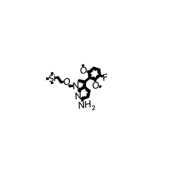 COc1ccc(F)c(OC)c1-c1cn(COCC[Si](C)(C)C)c2nc(N)ccc12